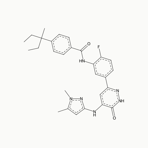 CCC(C)(CC)c1ccc(C(=O)Nc2cc(-c3cc(Nc4cc(C)n(C)n4)c(=O)[nH]n3)ccc2F)cc1